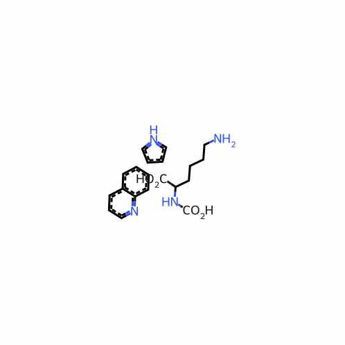 NCCCCC(NC(=O)O)C(=O)O.c1cc[nH]c1.c1ccc2ncccc2c1